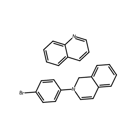 Brc1ccc(N2C=Cc3ccccc3C2)cc1.c1ccc2ncccc2c1